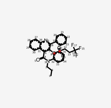 CCCN(C(=O)c1c(OS(=O)(=O)CCC(F)(F)F)c(-c2ccccc2)nc2ccccc12)c1ccccc1